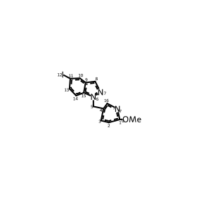 COc1ccc(Cn2ncc3cc(I)ccc32)cn1